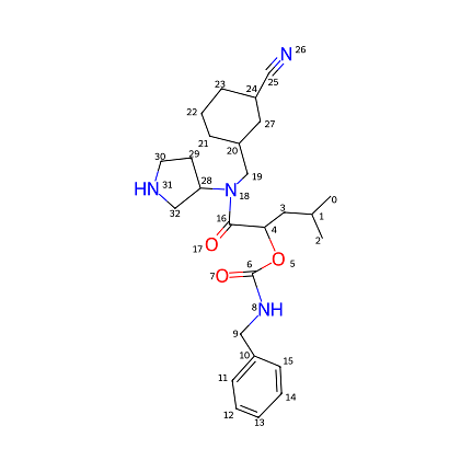 CC(C)CC(OC(=O)NCc1ccccc1)C(=O)N(CC1CCCC(C#N)C1)C1CCNC1